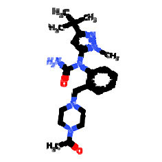 CC(=O)N1CCN(Cc2ccccc2N(C(N)=O)c2cc(C(C)(C)C)nn2C)CC1